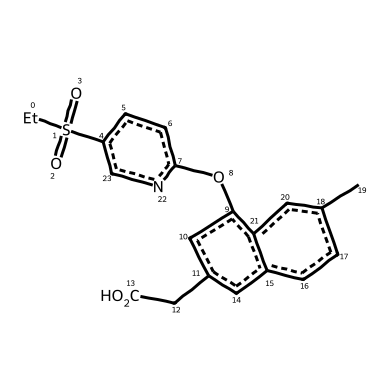 CCS(=O)(=O)c1ccc(Oc2cc(CC(=O)O)cc3ccc(C)cc23)nc1